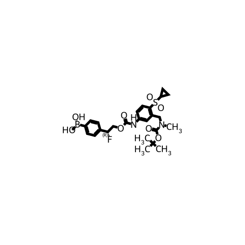 CN(Cc1cc(NC(=O)OC[C@H](F)c2ccc(B(O)O)cc2)ccc1S(=O)(=O)C1CC1)C(=O)OC(C)(C)C